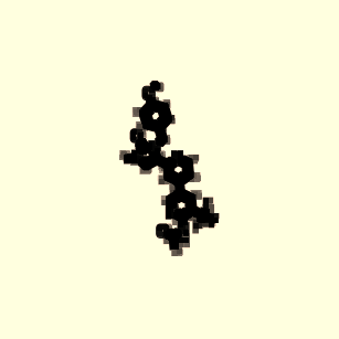 COc1ccc(Cn2c(-c3cc(-c4cnc(NC(C)=O)c(C(F)(F)F)c4)ccn3)cn(C)c2=O)cc1